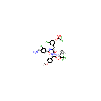 COc1ccc([C@H](NC(=O)[C@H](Cc2cccc(Cl)c2)NC(=O)c2ccc(CN)c(Cl)c2)C(=O)N[C@H](C(=O)C(F)(F)F)C(C)C)cc1.O=C(O)C(F)(F)F